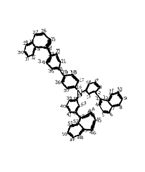 c1cc(-c2cccc3ccccc23)cc(N(c2ccc(-c3ccc(-c4cccc5ccccc45)cc3)cc2)c2cccc(-c3cccc4ccccc34)c2)c1